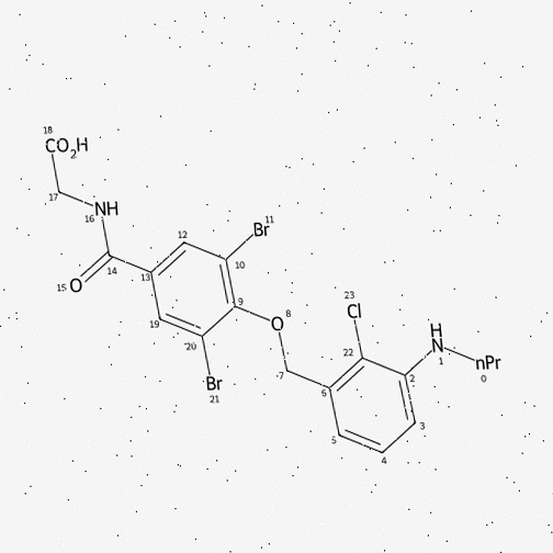 CCCNc1cccc(COc2c(Br)cc(C(=O)NCC(=O)O)cc2Br)c1Cl